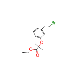 CCOC(=O)C(C)(C)Oc1cccc(CCBr)c1